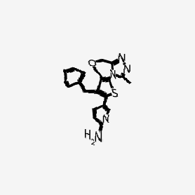 Cc1nnc2n1-c1sc(-c3ccc(N)nc3)c(Cc3ccccc3)c1COC2